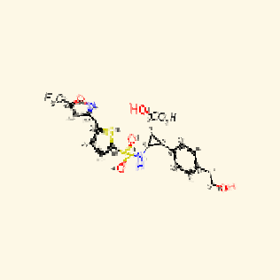 O=C(O)O.O=S(=O)(N[C@@H]1C[C@H]1c1ccc(CCO)cc1)c1ccc(-c2cc(C(F)(F)F)on2)s1